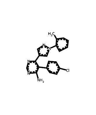 Cc1ccccc1-n1cc(-c2ncnc(N)c2-c2ccc(Cl)cc2)cn1